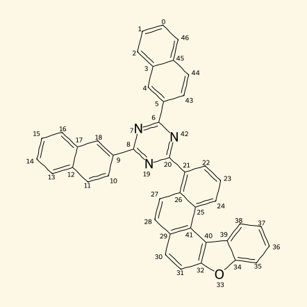 c1ccc2cc(-c3nc(-c4ccc5ccccc5c4)nc(-c4cccc5c4ccc4ccc6oc7ccccc7c6c45)n3)ccc2c1